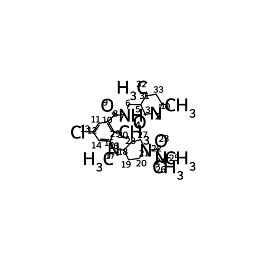 CC1=NC(=O)C(CNC(=O)c2cc(Cl)cc(N(C)C3CCN(C(=O)N(C)C)CC3)c2C)C(C)C1